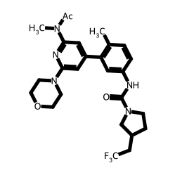 CC(=O)N(C)c1cc(-c2cc(NC(=O)N3CCC(CC(F)(F)F)C3)ccc2C)cc(N2CCOCC2)n1